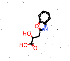 O=C(O)C(O)Cc1nc2ccccc2o1